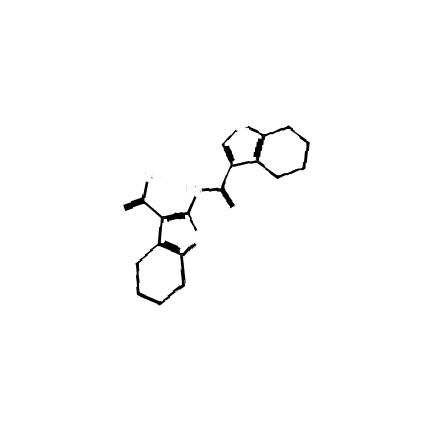 NC(=O)c1c(NC(=O)c2csc3c2CCCC3)sc2c1CCCC2